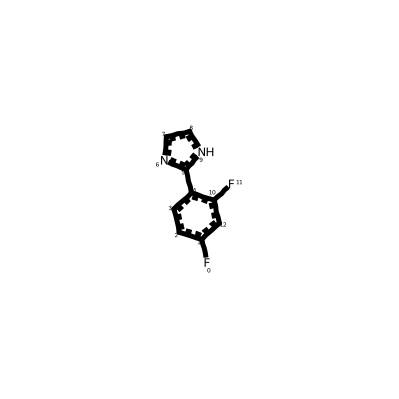 Fc1ccc(-c2ncc[nH]2)c(F)c1